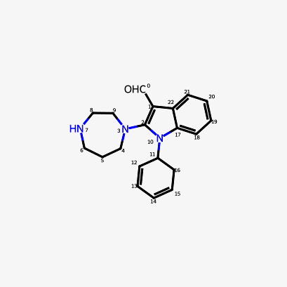 O=Cc1c(N2CCCNCC2)n(C2C=CC=CC2)c2ccccc12